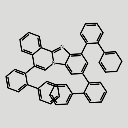 C1=CC(c2ccccc2-c2cc(-c3ccccc3-c3ccccc3)cc3c2nc2c4ccccc4c(-c4ccccc4-c4ccccc4)cn32)=CCC1